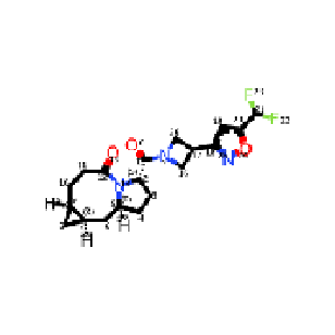 O=C([C@@H]1CC[C@@H]2C[C@H]3C[C@@H]3CCC(=O)N21)N1CC(c2cc(C(F)F)on2)C1